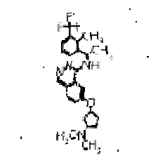 Cc1c([C@@H](C)Nc2nncc3ccc(O[C@H]4CC[C@H](N(C)C)C4)cc23)cccc1C(F)(F)F